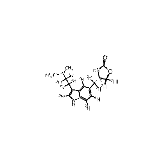 [2H]c1[nH]c2c([2H])c([2H])c(C([2H])([2H])[C@@H]3NC(=O)OC3([2H])[2H])c([2H])c2c1C([2H])([2H])C([2H])([2H])N(C)C